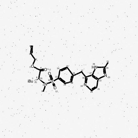 C=CCOC(=O)[C@H]([C@@H](C)CC)N(C)S(=O)(=O)c1ccc(Cc2nccc3nc(C)[nH]c23)cc1